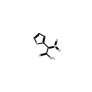 NC(=S)C(c1cccs1)=S(=O)=O